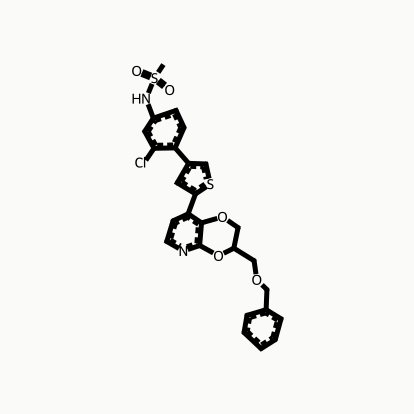 CS(=O)(=O)Nc1ccc(-c2csc(-c3ccnc4c3OCC(COCc3ccccc3)O4)c2)c(Cl)c1